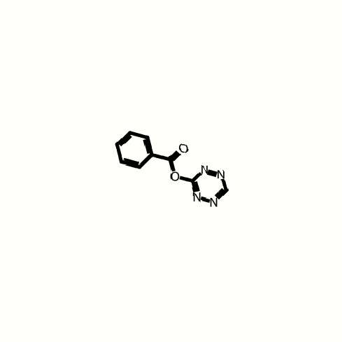 O=C(Oc1nncnn1)c1ccccc1